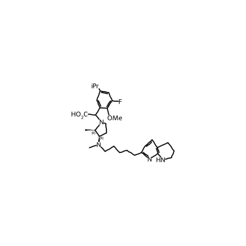 COc1c(F)cc(C(C)C)cc1C(C(=O)O)N1CC[C@@H](N(C)CCCCCc2ccc3c(n2)NCCC3)[C@H]1C